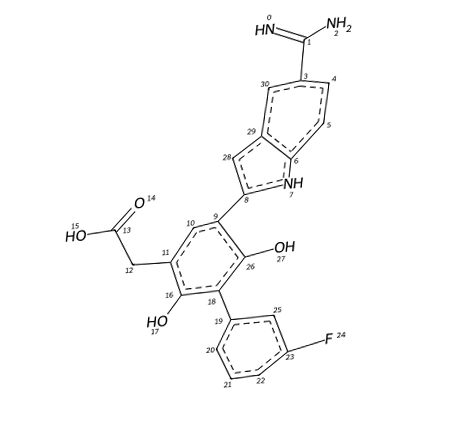 N=C(N)c1ccc2[nH]c(-c3cc(CC(=O)O)c(O)c(-c4cccc(F)c4)c3O)cc2c1